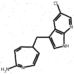 NC1=NC=CC(Cc2c[nH]c3ncc(Cl)cc23)C=C1